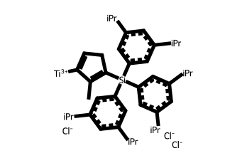 CC1=C([Si](c2cc(C(C)C)cc(C(C)C)c2)(c2cc(C(C)C)cc(C(C)C)c2)c2cc(C(C)C)cc(C(C)C)c2)CC=[C]1[Ti+3].[Cl-].[Cl-].[Cl-]